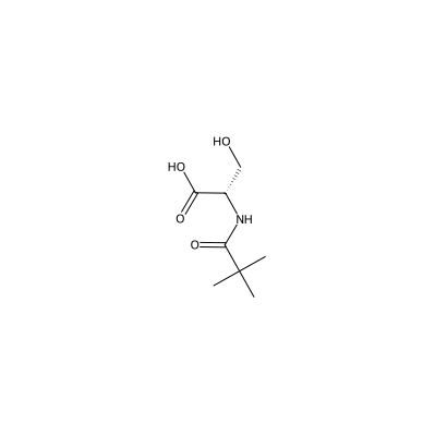 CC(C)(C)C(=O)N[C@@H](CO)C(=O)O